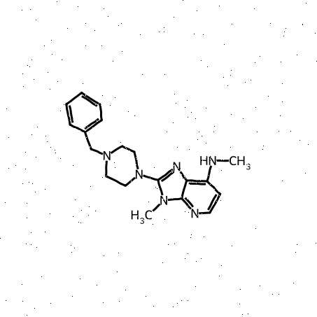 CNc1ccnc2c1nc(N1CCN(Cc3ccccc3)CC1)n2C